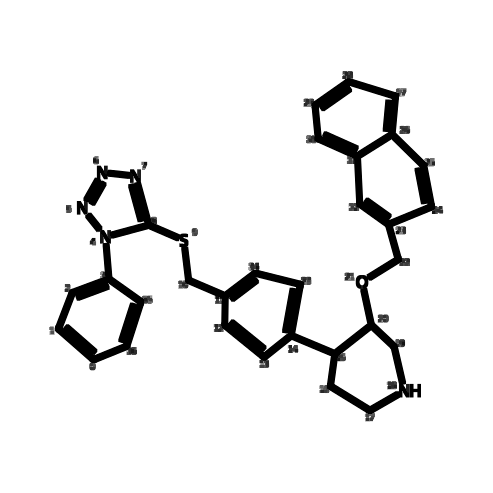 c1ccc(-n2nnnc2SCc2ccc(C3CCNCC3OCc3ccc4ccccc4c3)cc2)cc1